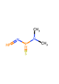 CN(C)[PH](=S)N=P